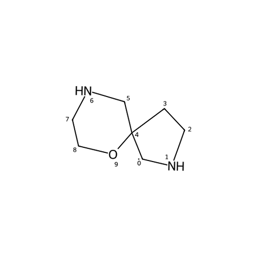 [CH]1NCCC12CNCCO2